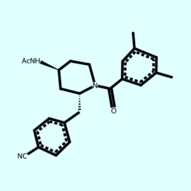 CC(=O)N[C@H]1CCN(C(=O)c2cc(C)cc(C)c2)[C@H](Cc2ccc(C#N)cc2)C1